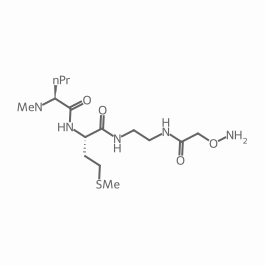 CCC[C@H](NC)C(=O)N[C@@H](CCSC)C(=O)NCCNC(=O)CON